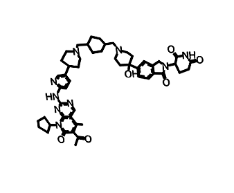 CC(=O)c1c(C)c2cnc(Nc3ccc(C4CCN(CC5CCC(CN6CCC(O)(c7ccc8c(c7)CN(C7CCC(=O)NC7=O)C8=O)CC6)CC5)CC4)cn3)nc2n(C2CCCC2)c1=O